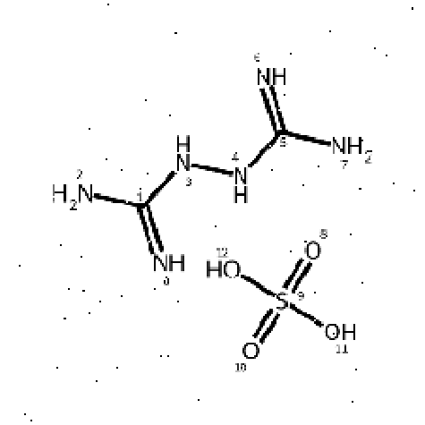 N=C(N)NNC(=N)N.O=S(=O)(O)O